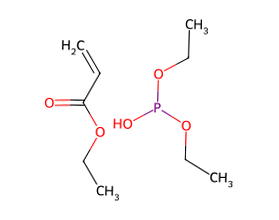 C=CC(=O)OCC.CCOP(O)OCC